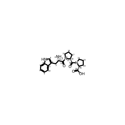 N[C@@H](Cc1c[nH]c2ccccc12)C(=O)N1CCC[C@H]1C(=O)N1CCC[C@H]1C(=O)O